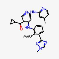 COc1c(Nc2cc(Nc3cc(C)ccn3)ncc2C(=O)C2CC2)cccc1-c1ncn(C)n1